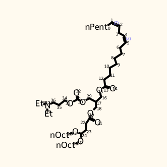 CCCCC/C=C\C/C=C\CCCCCCCC(=O)OCC(COC(=O)CCC(OCCCCCCCC)OCCCCCCCC)COC(=O)OCCCN(CC)CC